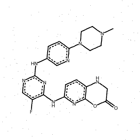 CN1CCN(c2ccc(Nc3ncc(F)c(Nc4ccc5c(n4)OC(=O)CN5)n3)cn2)CC1